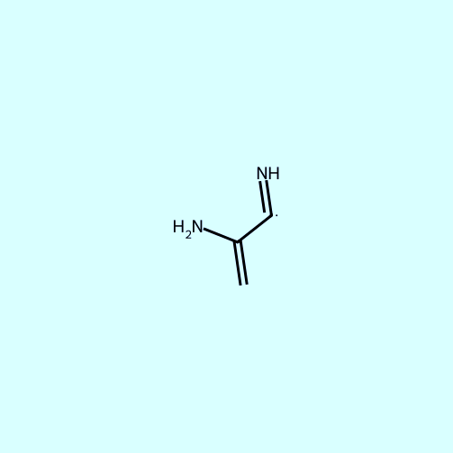 C=C(N)[C]=N